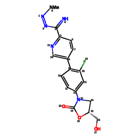 CN/N=N\C(=N)c1ccc(-c2ccc(N3C[C@H](CO)OC3=O)cc2F)cn1